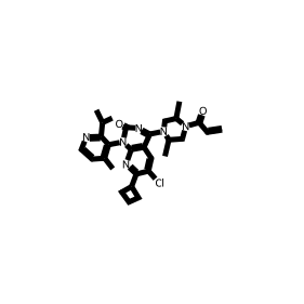 C=CC(=O)N1CC(C)N(c2nc(=O)n(-c3c(C)ccnc3C(C)C)c3nc(C4CCC4)c(Cl)cc23)CC1C